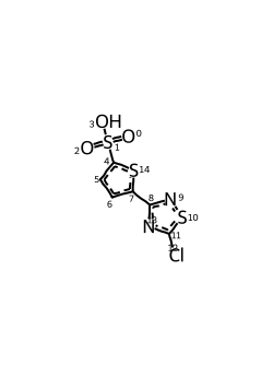 O=S(=O)(O)c1ccc(-c2nsc(Cl)n2)s1